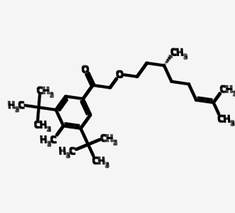 CC(C)=CCC[C@@H](C)CCOCC(=O)c1cc(C(C)(C)C)c(C)c(C(C)(C)C)c1